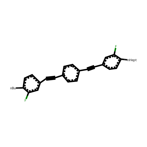 CCCCCCCc1ccc(C#Cc2ccc(C#Cc3ccc(CCCC)c(F)c3)cc2)cc1F